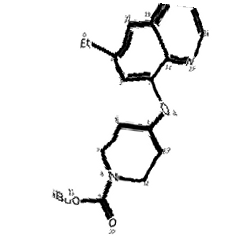 CCc1cc(OC2CCN(C(=O)OCC(C)C)CC2)c2ncccc2c1